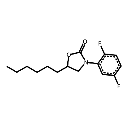 CCCCCCC1CN(c2cc(F)ccc2F)C(=O)O1